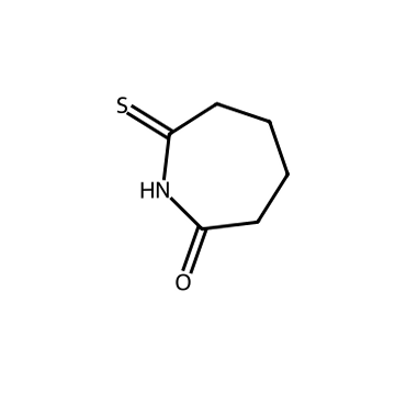 O=C1CCCCC(=S)N1